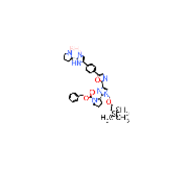 BN1CCC[C@H]1c1ncc(-c2ccc(-c3cnc(-c4cn(COCC[Si](C)(C)C)c([C@@H]5CCCN5C(=O)OCc5ccccc5)n4)o3)cc2)[nH]1